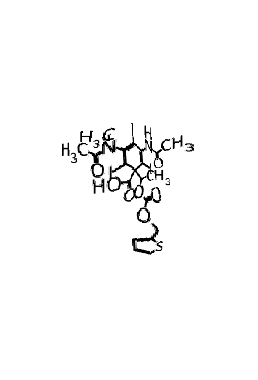 CC(=O)NC1=C(I)C(C(=O)O)(C(C)OC(=O)OCc2cccs2)C(I)C(N(C)C(C)=O)=C1I